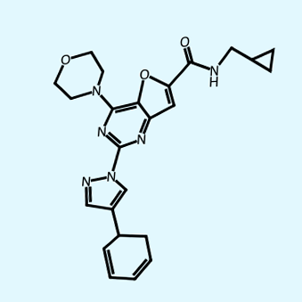 O=C(NCC1CC1)c1cc2nc(-n3cc(C4C=CC=CC4)cn3)nc(N3CCOCC3)c2o1